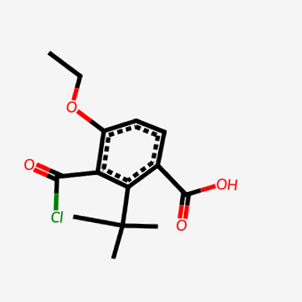 CCOc1ccc(C(=O)O)c(C(C)(C)C)c1C(=O)Cl